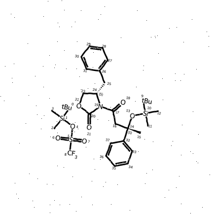 CC(C)(C)[Si](C)(C)OS(=O)(=O)C(F)(F)F.CC(C)(C)[Si](C)(C)O[C@@](C)(CC(=O)N1C(=O)OC[C@@H]1Cc1ccccc1)c1ccccc1